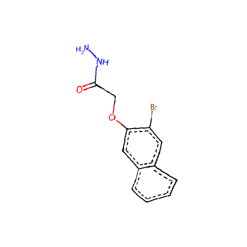 NNC(=O)COc1cc2ccccc2cc1Br